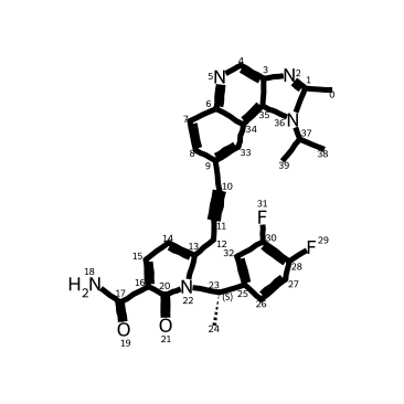 Cc1nc2cnc3ccc(C#CCc4ccc(C(N)=O)c(=O)n4[C@@H](C)c4ccc(F)c(F)c4)cc3c2n1C(C)C